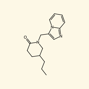 CCCC1CCC(=O)N(Cc2cnc3ccccn23)C1